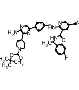 C[C@H](NC(=O)c1cc(C#N)cnc1NCc1ccc(-c2cnc(N)c(C3=CCN(C(=O)OC(C)(C)C)CC3)n2)cc1)c1ccc(F)cc1